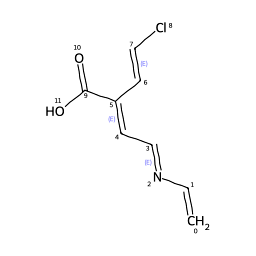 C=C/N=C/C=C(\C=C\Cl)C(=O)O